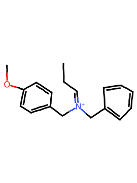 CCC=[N+](Cc1ccccc1)Cc1ccc(OC)cc1